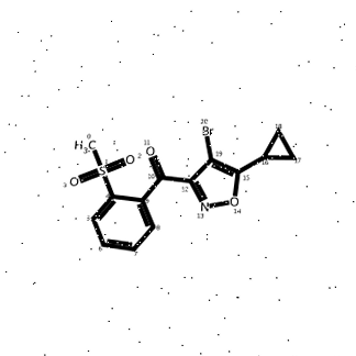 CS(=O)(=O)c1ccccc1C(=O)c1noc(C2CC2)c1Br